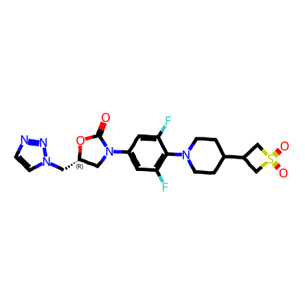 O=C1O[C@@H](Cn2ccnn2)CN1c1cc(F)c(N2CCC(C3CS(=O)(=O)C3)CC2)c(F)c1